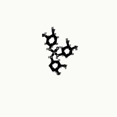 O=P(Oc1ccc(Br)c(Br)c1)(Oc1ccc(Br)c(Br)c1)Oc1ccc(Br)c(Br)c1